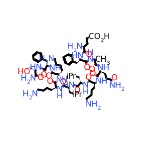 CC(C)C[C@H](NC(=O)[C@H](CCCCN)NC(=O)[C@H](CCC(N)=O)NC(=O)[C@H](C)NC(=O)[C@H](Cc1ccccc1)NC(=O)[C@@H](N)CCC(=O)O)C(=O)N[C@@H](CC(C)C)C(=O)N[C@@H](CCCCN)C(=O)N[C@@H](CCCCN)C(=O)N[C@@H](Cc1ccccc1)C(=O)N[C@@H](CO)C(N)=O